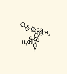 CNC(=O)c1c(-c2ccc(F)cc2)oc2cc(N(C)S(C)(=O)=O)c(-c3cccc(-c4cnc(-c5ccccc5)s4)c3)cc12